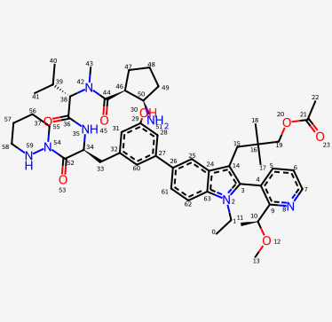 CCn1c(-c2cccnc2[C@H](C)OC)c(CC(C)(C)COC(C)=O)c2cc(-c3cc(O)cc(C[C@H](NC(=O)[C@H](C(C)C)N(C)C(=O)[C@H]4CCC[C@H]4N)C(=O)N4CCCCN4)c3)ccc21